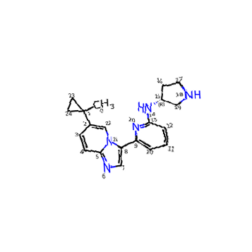 CC1(c2ccc3ncc(-c4cccc(N[C@@H]5CCNC5)n4)n3c2)CC1